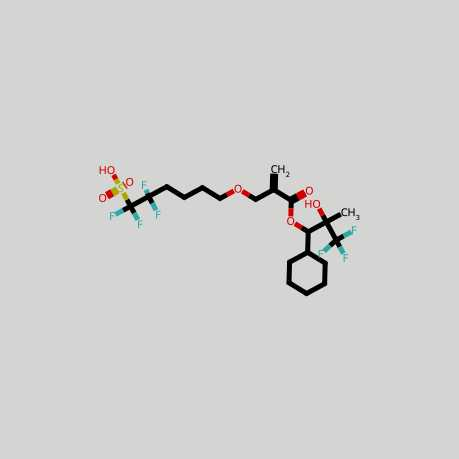 C=C(COCCCCC(F)(F)C(F)(F)S(=O)(=O)O)C(=O)OC(C1CCCCC1)C(C)(O)C(F)(F)F